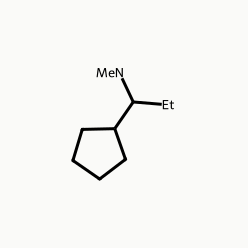 [CH2]CC(NC)C1CCCC1